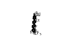 CCCCc1ccc(-c2ccc(-c3ccc(-c4cc(F)c(OC(F)(F)F)c(F)c4)c(F)c3)cc2CC)cc1